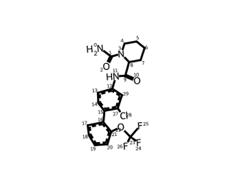 NC(=O)N1CCCCC1C(=O)Nc1ccc(-c2ccccc2OC(F)(F)F)c(Cl)c1